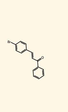 O=C(C=Cc1ccc(Br)cc1)c1ccccc1